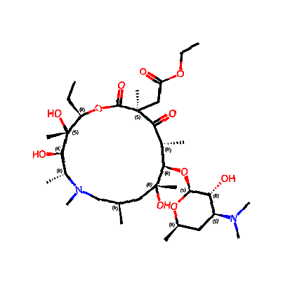 CCOC(=O)C[C@]1(C)C(=O)O[C@H](CC)[C@@](C)(O)[C@H](O)[C@@H](C)N(C)C[C@H](C)C[C@@](C)(O)[C@H](O[C@@H]2O[C@H](C)C[C@H](N(C)C)[C@H]2O)[C@@H](C)C1=O